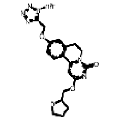 CCCn1nnnc1COc1ccc2c(c1)CCn1c-2cc(OCC2CCCO2)nc1=O